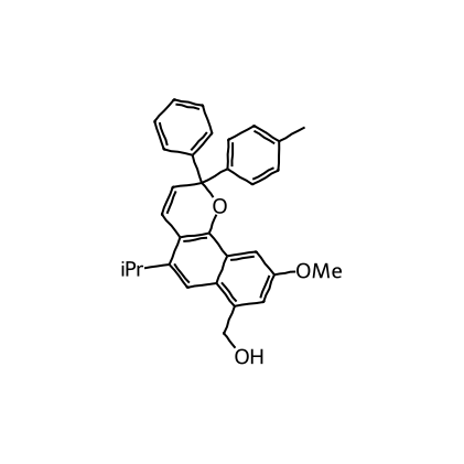 COc1cc(CO)c2cc(C(C)C)c3c(c2c1)OC(c1ccccc1)(c1ccc(C)cc1)C=C3